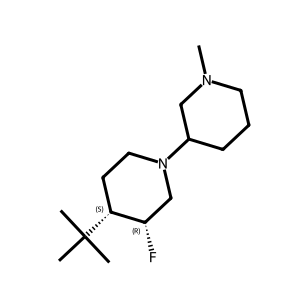 CN1CCCC(N2CC[C@@H](C(C)(C)C)[C@@H](F)C2)C1